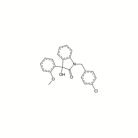 COc1ccccc1C1(O)C(=O)N(Cc2ccc(Cl)cc2)c2ccccc21